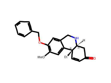 CC[C@]12C=CC(=O)C[C@@H]1NCc1cc(OCc3ccccc3)c(OC)cc12